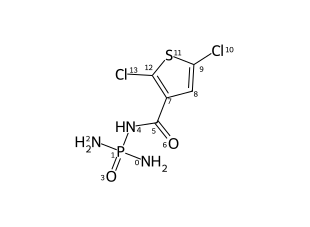 NP(N)(=O)NC(=O)c1cc(Cl)sc1Cl